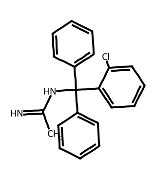 CC(=N)NC(c1ccccc1)(c1ccccc1)c1ccccc1Cl